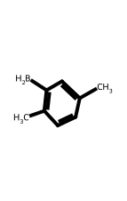 Bc1cc(C)ccc1C